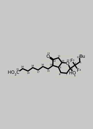 CCC(C)CC(F)(F)C1(O)CCC2C(CC(=O)C2CCCCCCC(=O)O)O1